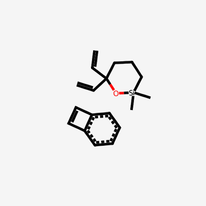 C1=Cc2ccccc21.C=CC1(C=C)CCC[Si](C)(C)O1